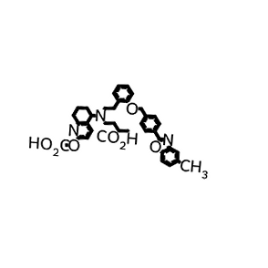 Cc1ccc2oc(-c3ccc(COc4ccccc4CCN(CCCCC(=O)O)C4CCCc5nc(OC(=O)O)ccc54)cc3)nc2c1